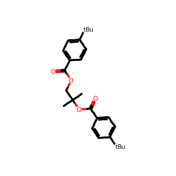 CC(C)(COC(=O)c1ccc(C(C)(C)C)cc1)OC(=O)c1ccc(C(C)(C)C)cc1